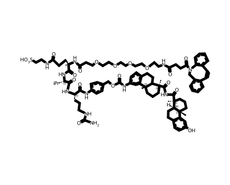 CC(C)[C@H](NC(=O)[C@@H](CCC(=O)NCCS(=O)(=O)O)NC(=O)CCOCCOCCOCCOCCNC(=O)CCC(=O)N1Cc2ccccc2C#Cc2ccccc21)C(=O)N[C@@H](CCCNC(N)=O)C(=O)Nc1ccc(COC(=O)Nc2ccc3c(c2)[C@@]2(C)CCC[C@](C)(C(=O)NC(=O)[C@@]4(C)CCC[C@]5(C)c6cc(O)ccc6CC[C@@H]45)C2CC3)cc1